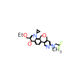 CCOCc1cn(C2CC2)c2c3c(ccc2c1=O)-c1cnc(N(C)CC(F)F)cc1COC3